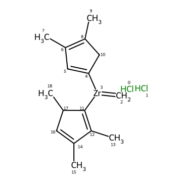 Cl.Cl.[CH2]=[Zr]([C]1=CC(C)=C(C)C1)[C]1=C(C)C(C)=CC1C